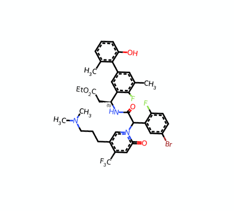 CCOC(=O)C[C@H](NC(=O)C(c1cc(Br)ccc1F)n1cc(CCCN(C)C)c(C(F)(F)F)cc1=O)c1cc(-c2c(C)cccc2O)cc(C)c1F